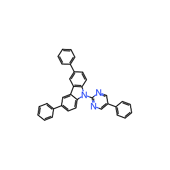 c1ccc(-c2cnc(-n3c4ccc(-c5ccccc5)cc4c4cc(-c5ccccc5)ccc43)nc2)cc1